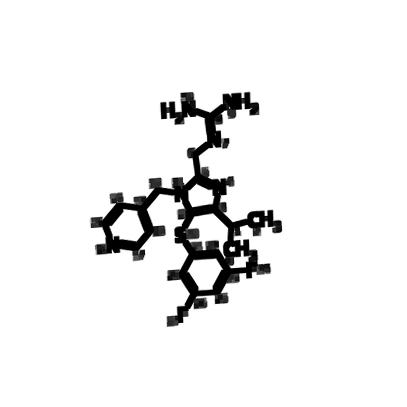 CC(C)c1nc(CN=C(N)N)n(Cc2ccncc2)c1Sc1cc(F)cc(F)c1